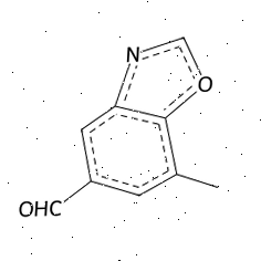 Cc1cc(C=O)cc2ncoc12